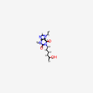 CCn1cnc2c1c(=O)n(CCCCC(C)O)c(=O)n2C